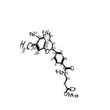 COC(=O)CCNC(=O)c1ccc(C(CCCC(F)(F)F)Oc2cc(C)c(Br)c(C)c2)cc1